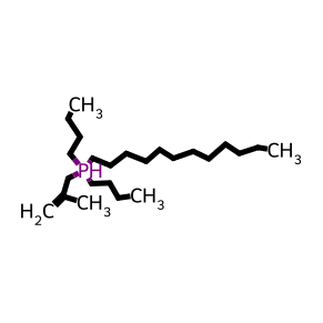 C=C(C)C[PH](CCCC)(CCCC)CCCCCCCCCCCC